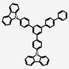 c1ccc(-c2ccc(-c3cc(-c4ccc(-n5c6ccccc6c6ccccc65)cc4)cc(-c4ccc(-n5c6ccccc6c6ccccc65)cc4)c3)cc2)cc1